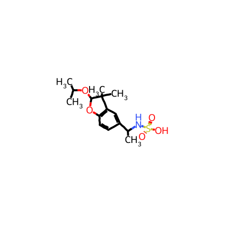 CC(C)OC1Oc2ccc(C(C)NS(=O)(=O)O)cc2C1(C)C